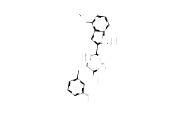 COc1cccc2[nH]c(C(=O)N[C@@H](Cc3cccc(F)c3)C(=O)O)cc12